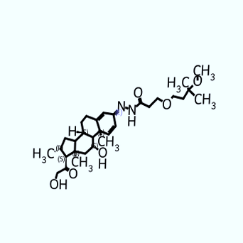 COC(C)(C)CCOCCC(=O)N/N=C1\C=C[C@@]2(C)C(=C1)CC[C@@H]1C2[C@@H](O)C[C@@]2(C)C1C[C@@H](C)[C@@H]2C(=O)CO